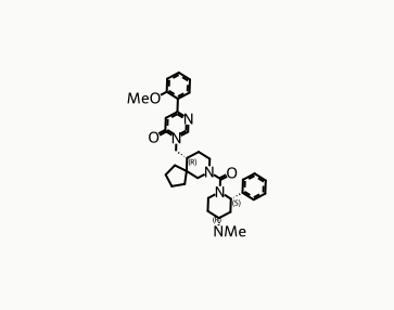 CN[C@@H]1CCN(C(=O)N2CC[C@@H](Cn3cnc(-c4ccccc4OC)cc3=O)C3(CCCC3)C2)[C@H](c2ccccc2)C1